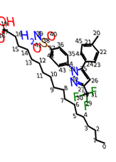 CCCCCCCCCCCCCCCCCC(=O)O.Cc1ccc(-c2cc(C(F)(F)F)nn2-c2ccc(S(N)(=O)=O)cc2)cc1